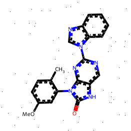 COc1ccc(C)c(-n2c(=O)[nH]c3cnc(-n4cnc5ccccc54)nc32)c1